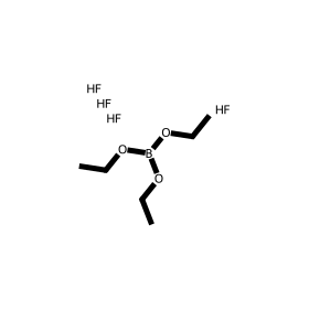 CCOB(OCC)OCC.F.F.F.F